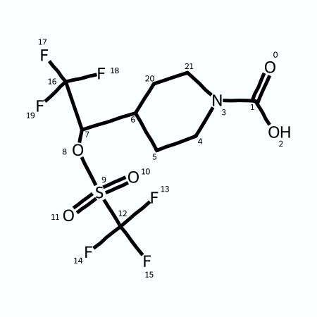 O=C(O)N1CCC(C(OS(=O)(=O)C(F)(F)F)C(F)(F)F)CC1